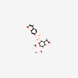 CCOC(C)OC1C2OC(C)(C)OC2C(OP(=O)(O)Oc2ccc3c(C)c(Cl)c(=O)oc3c2)C2C1OC(C)(C)C2C